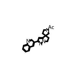 CC(=O)N1CCC2(CCn3nc(-c4cnc5ccccc5c4)cc32)C1